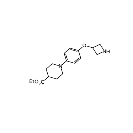 CCOC(=O)C1CCN(c2ccc(OC3CNC3)cc2)CC1